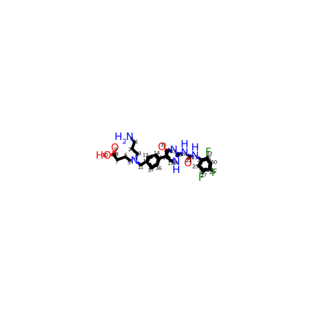 NCCCN(CCCC(=O)O)Cc1ccc(-c2c[nH]c(NC(=O)Nc3cc(F)c(F)cc3F)nc2=O)cc1